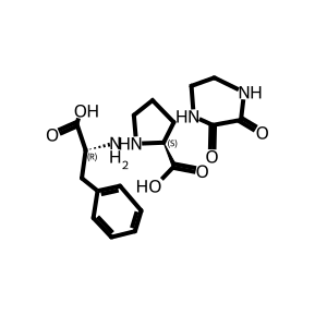 N[C@H](Cc1ccccc1)C(=O)O.O=C(O)[C@@H]1CCCN1.O=C1NCCNC1=O